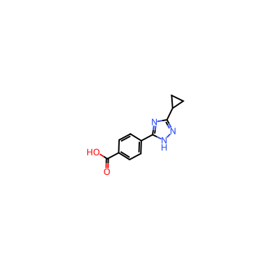 O=C(O)c1ccc(-c2nc(C3CC3)n[nH]2)cc1